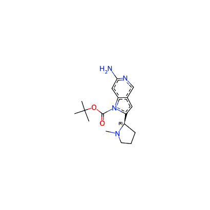 CN1CCC[C@@H]1c1cc2cnc(N)cc2n1C(=O)OC(C)(C)C